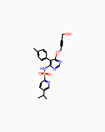 Cc1ccc(-c2c(NS(=O)(=O)c3ccc(C(C)C)cn3)ncnc2OCC#CCO)cc1